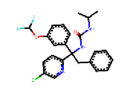 CC(C)NC(=O)NC(Cc1ccccc1)(c1cccc(OC(F)F)c1)c1ccc(Cl)cn1